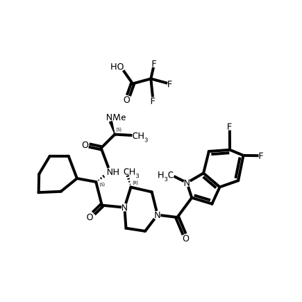 CN[C@@H](C)C(=O)N[C@H](C(=O)N1CCN(C(=O)c2cc3cc(F)c(F)cc3n2C)C[C@H]1C)C1CCCCC1.O=C(O)C(F)(F)F